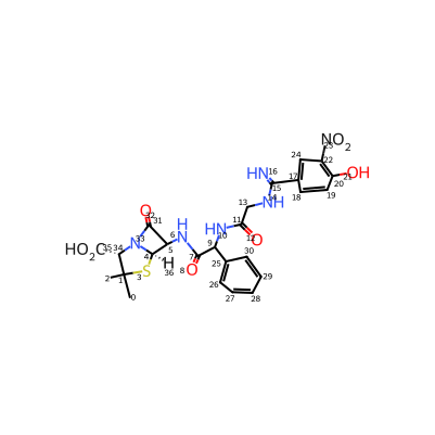 CC1(C)S[C@@H]2C(NC(=O)C(NC(=O)CNC(=N)c3ccc(O)c([N+](=O)[O-])c3)c3ccccc3)C(=O)N2[C@H]1C(=O)O